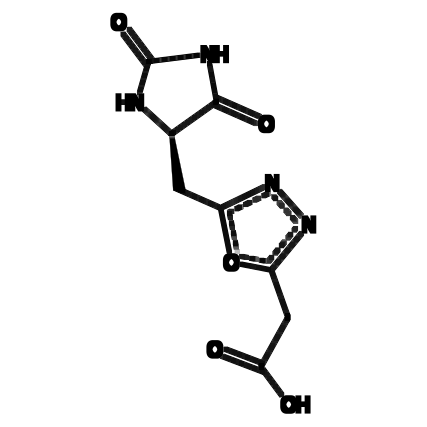 O=C(O)Cc1nnc(C[C@H]2NC(=O)NC2=O)o1